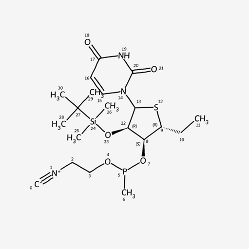 [C-]#[N+]CCOP(C)O[C@@H]1[C@@H](CC)SC(n2ccc(=O)[nH]c2=O)[C@@H]1O[Si](C)(C)C(C)(C)C